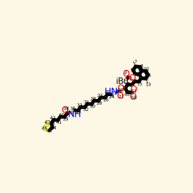 CCC(C)C(=O)OC1C[C@H](C)C=C2C=C[C@H](C)C(CCC3CC(OC(=O)NCCCCCCCCCCCCNC(=O)CCCCC4CCSS4)CC(=O)O3)C21